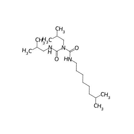 CC(C)CCCCCCNC(=O)N(CC(C)C)C(=O)NCC(C)C